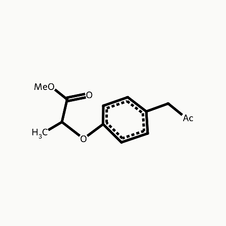 COC(=O)C(C)Oc1ccc(CC(C)=O)cc1